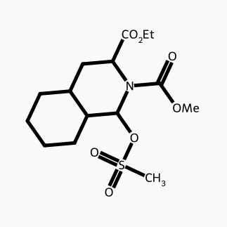 CCOC(=O)C1CC2CCCCC2C(OS(C)(=O)=O)N1C(=O)OC